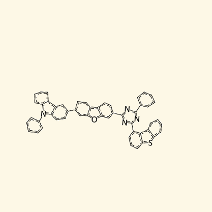 c1ccc(-c2nc(-c3ccc4c(c3)oc3cc(-c5ccc6c(c5)c5ccccc5n6-c5ccccc5)ccc34)nc(-c3cccc4sc5ccccc5c34)n2)cc1